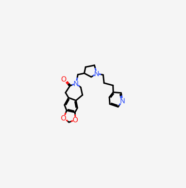 O=C1Cc2cc3c(cc2CCN1CC1CCN(CCCc2cccnc2)C1)OCO3